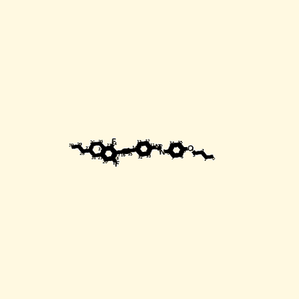 CCCCOc1ccc(N=Nc2ccc(C#Cc3c(F)cc4c(c3F)CCC(CCC)C4)cc2)cc1